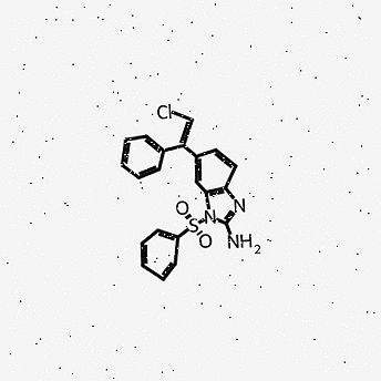 Nc1nc2ccc(/C(=C/Cl)c3ccccc3)cc2n1S(=O)(=O)c1ccccc1